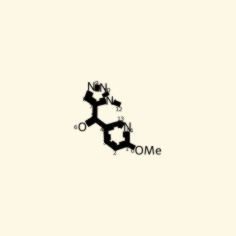 COc1ccc(C(=O)c2cnnn2C)cn1